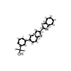 CC(C)(O)c1cccc(-c2ccc3nc(-c4nc5ccccc5s4)cn3c2)c1